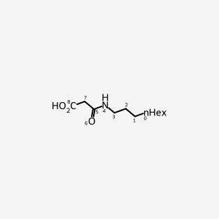 CCCCCCCCCNC(=O)CC(=O)O